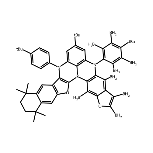 Bc1oc2c(B)c3c(c(B)c2c1B)N(c1c(B)c(B)c(C(C)(C)C)c(B)c1B)c1cc(C(C)(C)C)cc2c1B3c1oc3cc4c(cc3c1N2c1ccc(C(C)(C)C)cc1)C(C)(C)CCC4(C)C